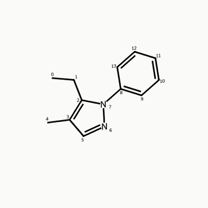 CCc1c(C)cnn1-c1ccccc1